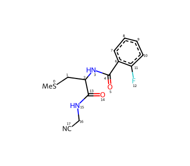 CSCC(NC(=O)c1ccccc1F)C(=O)NCC#N